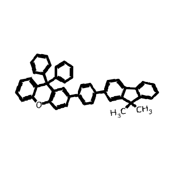 CC1(C)c2ccccc2-c2ccc(-c3ccc(-c4ccc5c(c4)C(c4ccccc4)(c4ccccc4)c4ccccc4O5)cc3)cc21